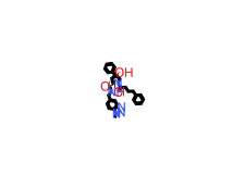 Cn1nnc2cc(CNC(=O)[C@@H]3C[C@@](O)(c4ccccc4)CN3C(=O)CCCc3ccccc3)ccc21